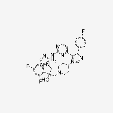 Nc1nccc(-c2c(-c3ccc(F)cc3)ncn2C2CCN(C[C@](O)(Cn3cncn3)c3ccc(F)cc3F)CC2)n1